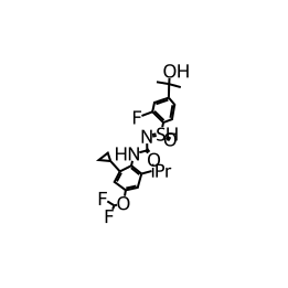 CC(C)c1cc(OC(F)F)cc(C2CC2)c1NC(=O)/N=[SH](=O)/c1ccc(C(C)(C)O)cc1F